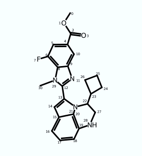 COC(=O)c1cc(F)c2c(c1)nc(-c1cc3cccc4c3n1C(C1CCC1)CN4)n2C